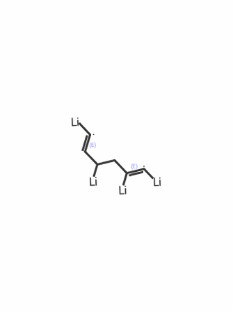 [Li]/[C]=C/[CH]([Li])C/[C]([Li])=[C]/[Li]